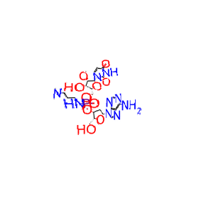 COC1C(O)[C@@H](COP(=O)(NCCCN(C)C)OC2C[C@H](n3cnc4c(N)ncnc43)O[C@@H]2CO)O[C@H]1n1ccc(=O)[nH]c1=O